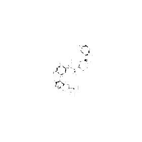 CC1(C)Cc2c(-c3cc(NC(=O)[C@H]4CCC[C@H](c5cccnc5)C4)ncc3Cl)cnn2C1